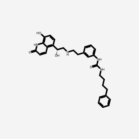 O=C(NCCCCc1ccccc1)Nc1cccc(CCNC[C@H](O)c2ccc(O)c3[nH]c(=O)ccc23)c1